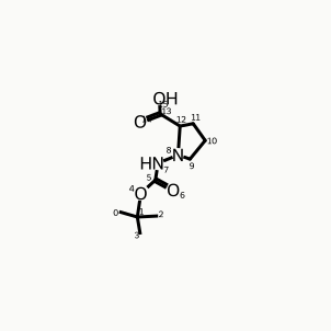 CC(C)(C)OC(=O)NN1CCCC1C(=O)O